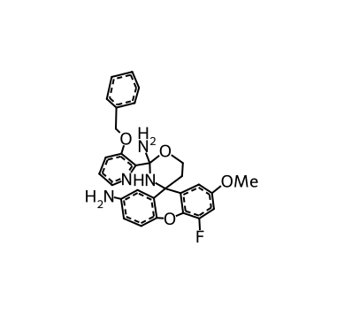 COc1cc(F)c2c(c1)C1(CCOC(N)(c3ncccc3OCc3ccccc3)N1)c1cc(N)ccc1O2